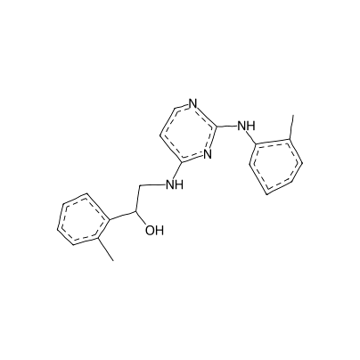 Cc1ccccc1Nc1nccc(NCC(O)c2ccccc2C)n1